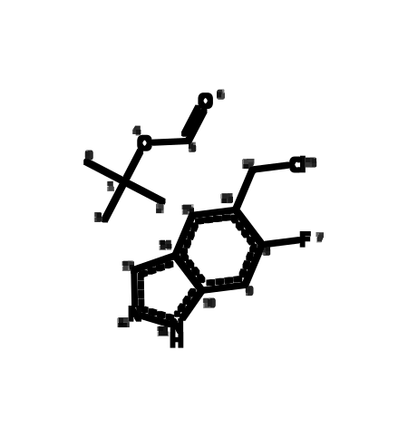 CC(C)(C)OC=O.Fc1cc2[nH]ncc2cc1CCl